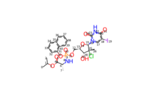 CC(C)OC(=O)[C@@H](C)N[P@](=O)(OC[C@H]1O[C@@H](n2cc(I)c(=O)[nH]c2=O)[C@](C)(Cl)[C@@H]1O)Oc1cccc2ccccc12